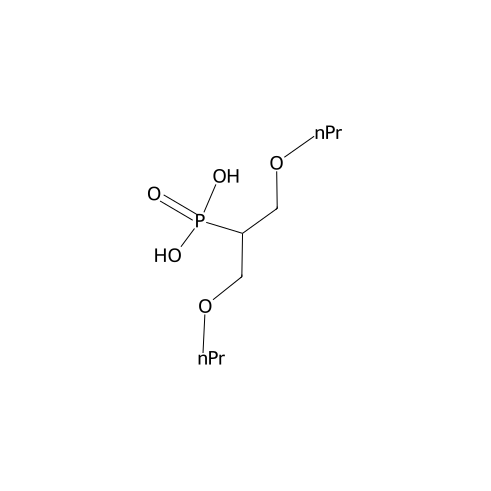 CCCOCC(COCCC)P(=O)(O)O